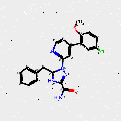 COc1ccc(Cl)cc1-c1ccnc(N2N=C(C(N)=O)NC2Cc2ccccc2)c1